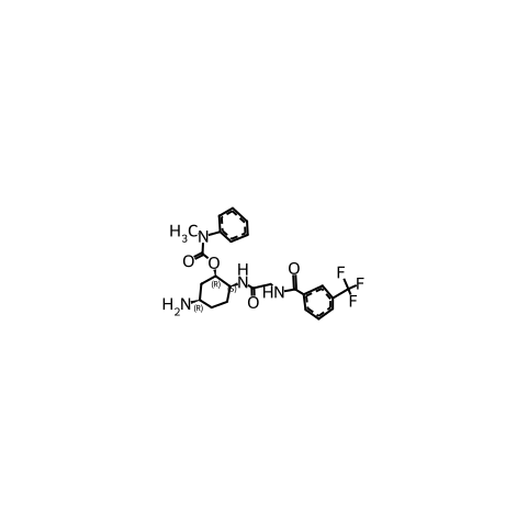 CN(C(=O)O[C@@H]1C[C@H](N)CC[C@@H]1NC(=O)CNC(=O)c1cccc(C(F)(F)F)c1)c1ccccc1